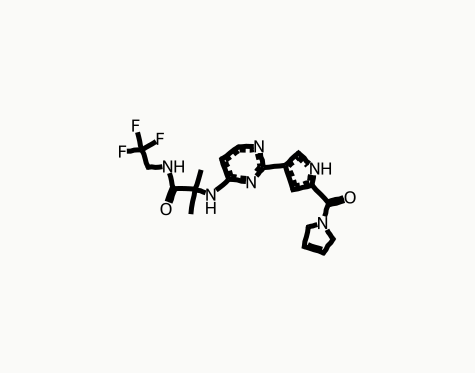 CC(C)(Nc1ccnc(-c2c[nH]c(C(=O)N3CC=CC3)c2)n1)C(=O)NCC(F)(F)F